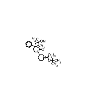 CC(C)(O)C[C@]1(c2ccccc2)CCN([C@H]2CCCN(C(=O)OC(C)(C)C)C2)C(=O)O1